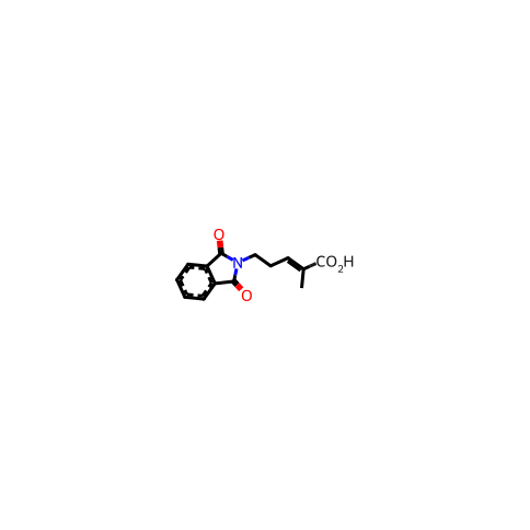 CC(=CCCN1C(=O)c2ccccc2C1=O)C(=O)O